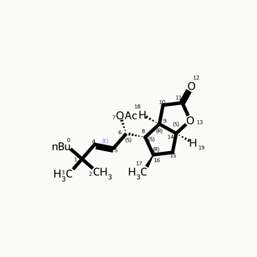 CCCCC(C)(C)/C=C/[C@H](OC(C)=O)[C@@H]1[C@H]2CC(=O)O[C@H]2C[C@H]1C